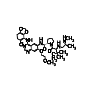 CN[C@@H](C)CN[C@H](C(=O)N1CCC[C@H]1C(=O)Nc1cc2c(Nc3c(Cl)ccc4c3OCO4)ncnc2cc1OCCOC)C(C)(C)C